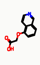 O=C(O)COc1cccc2cnccc12